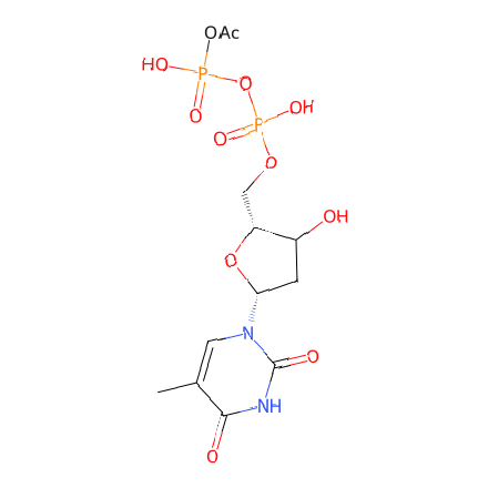 CC(=O)OP(=O)(O)OP(=O)(O)OC[C@H]1O[C@@H](n2cc(C)c(=O)[nH]c2=O)CC1O